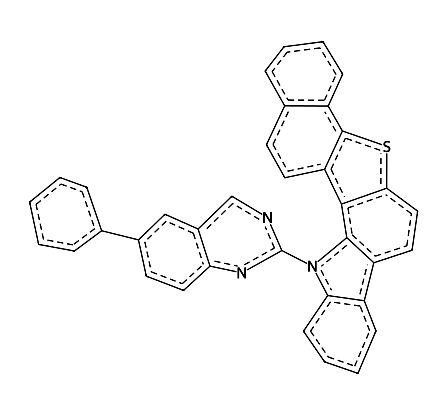 c1ccc(-c2ccc3nc(-n4c5ccccc5c5ccc6sc7c8ccccc8ccc7c6c54)ncc3c2)cc1